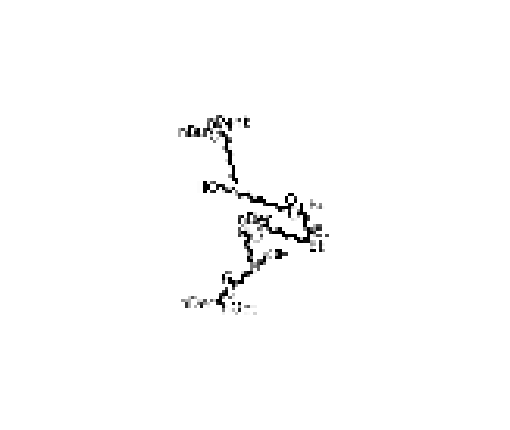 CCCCCCCCCCC(CCCCCCCC)COC(=O)CCCN(CCO)CCCC(=O)OCC(CCCCCCCCCC)CCCCCC(CC)C(CC)CCC(CCCC)OC(=O)CCCCCCCN(CCO)CCCCCCCC(=O)OC(CCCC)CCCCC